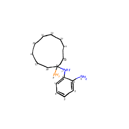 Nc1ccccc1NC1(P)CCCCCCCCC1